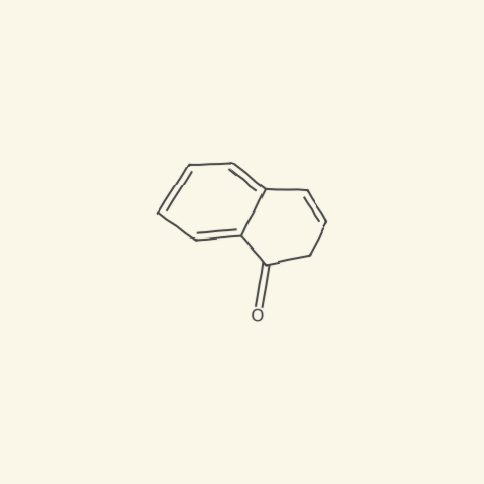 O=C1CC=Cc2ccccc21